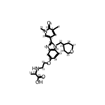 Cc1cc(-c2nc3cc(OCCNC(C)C(=O)O)ccc3n2CC2CCOCC2)cn(C)c1=O